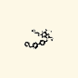 COCCOc1nc(N)c2nc(OC)n(Cc3ccc(-c4ccc(CN5CCCC5)nc4)cc3)c2n1